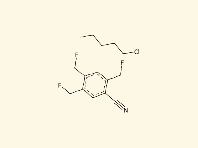 CCCCCCl.N#Cc1cc(CF)c(CF)cc1CF